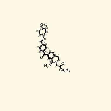 COC(=O)CN1CCc2ccc(C(=O)c3ccc(C=NN4CCN(C)CC4)cc3)cc2C1N